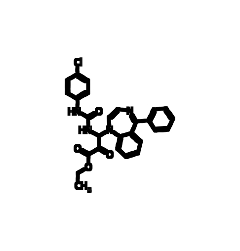 CCOC(=O)C(=O)C(NC(=O)Nc1ccc(Cl)cc1)N1C=CN=C(c2ccccc2)c2ccccc21